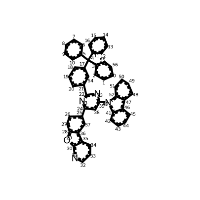 c1ccc(C(c2ccccc2)(c2ccccc2)c2cccc(-c3nc(-c4ccc5oc6ncccc6c5c4)cc(-n4c5ccccc5c5ccccc54)n3)c2)cc1